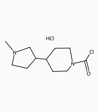 CN1CCC(C2CCN(C(=O)Cl)CC2)C1.Cl